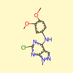 COc1ccc(Nc2nc(Cl)nc3c2cnn3C)cc1OC